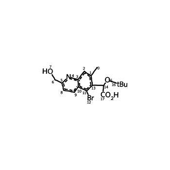 Cc1cc2nc(CO)ccc2c(Br)c1C(OC(C)(C)C)C(=O)O